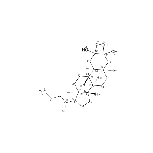 C[C@H](CCC(=O)O)[C@H]1CC[C@H]2[C@@H]3CC[C@@H]4CC(O)(O)C(O)(O)C[C@]4(C)[C@H]3CC[C@]12C